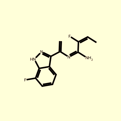 C=C(/N=C(N)\C(F)=C/C)c1n[nH]c2c(F)cccc12